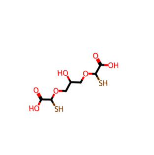 O=C(O)C(S)OCC(O)COC(S)C(=O)O